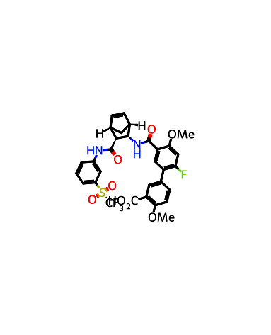 COc1ccc(-c2cc(C(=O)N[C@H]3[C@@H](C(=O)Nc4cccc(S(=O)(=O)C(F)(F)F)c4)[C@@H]4C=C[C@H]3C4)c(OC)cc2F)cc1C(=O)O